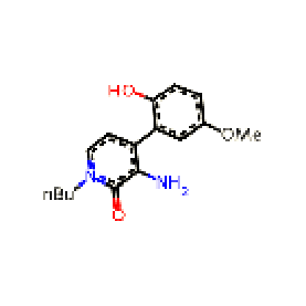 CCCCn1ccc(-c2cc(OC)ccc2O)c(N)c1=O